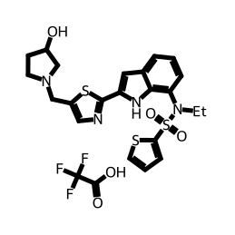 CCN(c1cccc2cc(-c3ncc(CN4CCC(O)C4)s3)[nH]c12)S(=O)(=O)c1cccs1.O=C(O)C(F)(F)F